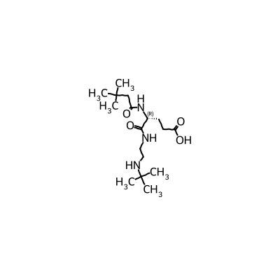 CC(C)(C)CC(=O)N[C@H](CCC(=O)O)C(=O)NCCNC(C)(C)C